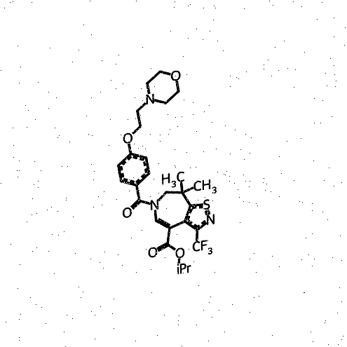 CC(C)OC(=O)C1=CN(C(=O)c2ccc(OCCN3CCOCC3)cc2)CC(C)(C)c2snc(C(F)(F)F)c21